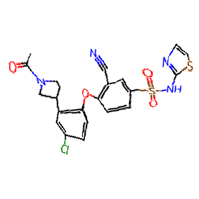 CC(=O)N1CC(c2cc(Cl)ccc2Oc2ccc(S(=O)(=O)Nc3nccs3)cc2C#N)C1